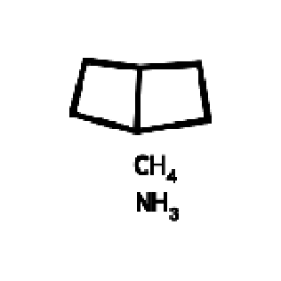 C.C1CC2CCC12.N